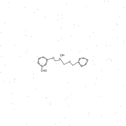 O=Cc1cccc(OC[C@H](O)COCc2ccccc2)c1